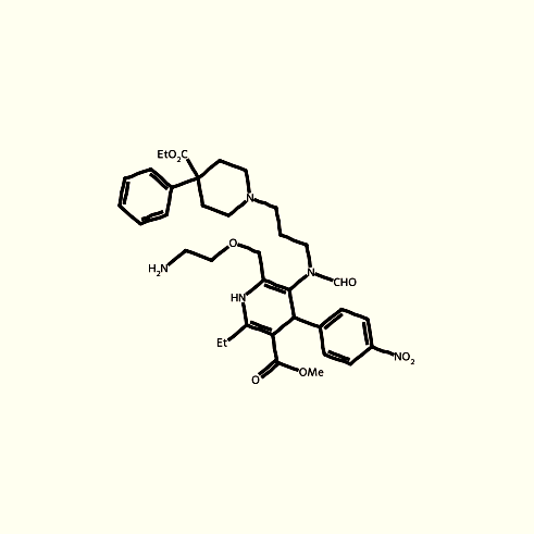 CCOC(=O)C1(c2ccccc2)CCN(CCCN(C=O)C2=C(COCCN)NC(CC)=C(C(=O)OC)C2c2ccc([N+](=O)[O-])cc2)CC1